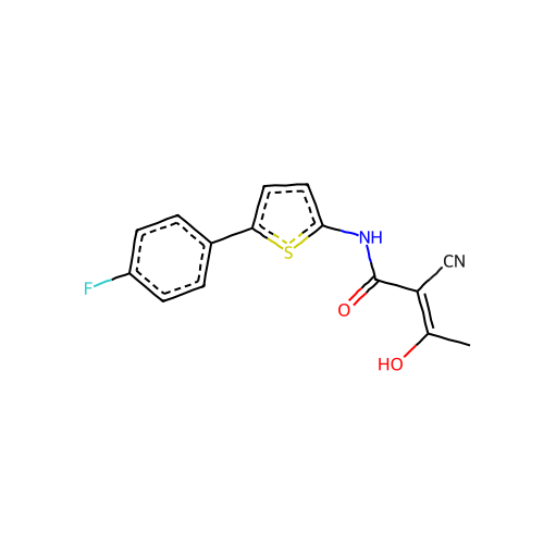 C/C(O)=C(\C#N)C(=O)Nc1ccc(-c2ccc(F)cc2)s1